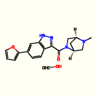 CN1C[C@@H]2C[C@H]1CN2C(=O)c1n[nH]c2cc(-c3ccco3)ccc12.O=CO